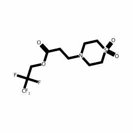 O=C(CCN1CCS(=O)(=O)CC1)OCC(F)(F)C(F)(F)F